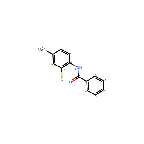 CSc1ccc(NC(=O)c2ccccc2)c(F)c1